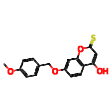 COc1ccc(COc2ccc3c(O)cc(=S)oc3c2)cc1